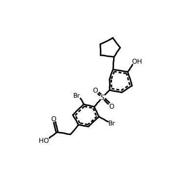 O=C(O)Cc1cc(Br)c(S(=O)(=O)c2ccc(O)c(C3CCCC3)c2)c(Br)c1